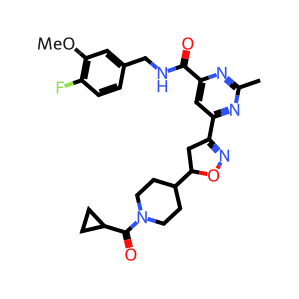 COc1cc(CNC(=O)c2cc(C3=NOC(C4CCN(C(=O)C5CC5)CC4)C3)nc(C)n2)ccc1F